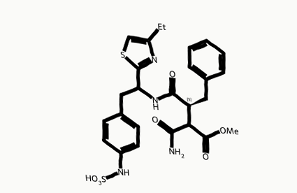 CCc1csc(C(Cc2ccc(NS(=O)(=O)O)cc2)NC(=O)[C@@H](Cc2ccccc2)C(C(N)=O)C(=O)OC)n1